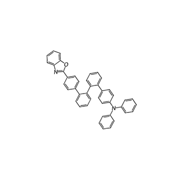 c1ccc(N(c2ccccc2)c2ccc(-c3ccccc3-c3ccccc3-c3ccc(-c4nc5ccccc5o4)cc3)cc2)cc1